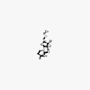 O=POC[C@H]1O[C@@H](n2ccc(=O)[nH]c2=O)[C@](Cl)(Br)[C@@H]1O